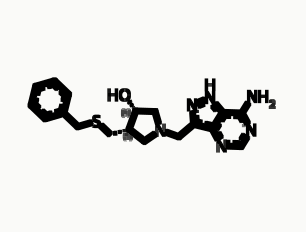 Nc1ncnc2c(CN3C[C@H](CSCc4ccccc4)[C@H](O)C3)n[nH]c12